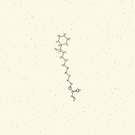 C=CC(=O)OCCCCCCCCCC(C)C1CCCCC1